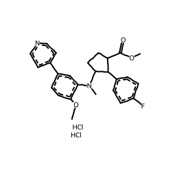 COC(=O)C1CCC(N(C)c2cc(-c3ccncc3)ccc2OC)C1c1ccc(F)cc1.Cl.Cl